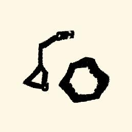 OCC1CO1.c1ccccc1